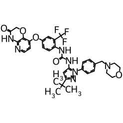 CC(C)(C)c1cc(NC(=O)Nc2ccc(Oc3ccnc4c3OCC(=O)N4)cc2C(F)(F)F)n(-c2ccc(CN3CCOCC3)cc2)n1